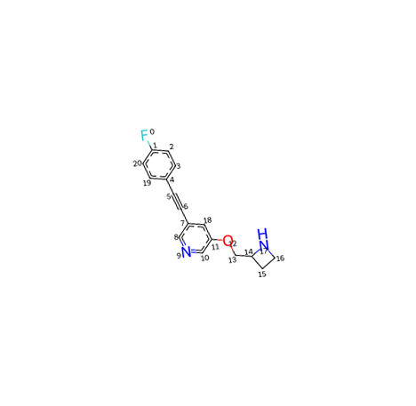 Fc1ccc(C#Cc2cncc(OCC3CCN3)c2)cc1